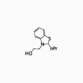 [CH2]CCC1Sc2ccccc2N1CCO